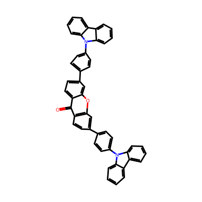 O=c1c2ccc(-c3ccc(-n4c5ccccc5c5ccccc54)cc3)cc2oc2cc(-c3ccc(-n4c5ccccc5c5ccccc54)cc3)ccc12